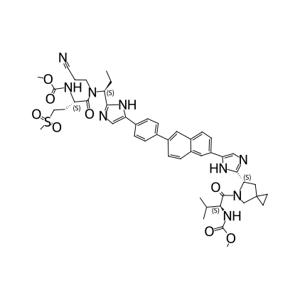 CC[C@@H](c1ncc(-c2ccc(-c3ccc4cc(-c5cnc([C@@H]6CC7(CC7)CN6C(=O)[C@@H](NC(=O)OC)C(C)C)[nH]5)ccc4c3)cc2)[nH]1)N(CCC#N)C(=O)[C@H](CCS(C)(=O)=O)NC(=O)OC